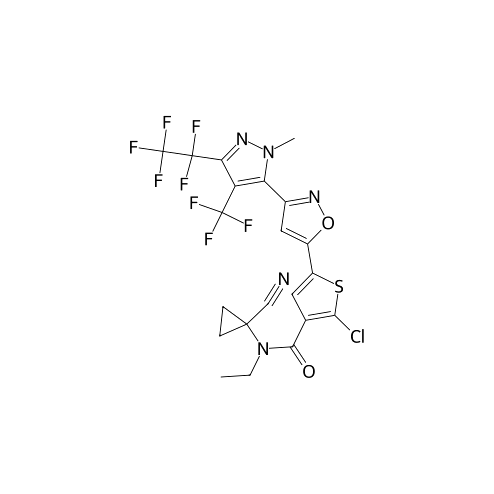 CCN(C(=O)c1cc(-c2cc(-c3c(C(F)(F)F)c(C(F)(F)C(F)(F)F)nn3C)no2)sc1Cl)C1(C#N)CC1